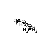 CC(C)(C)OC(=O)N1CCCC(NC(=O)COc2ccc(Cl)c(F)c2)CC1